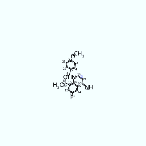 COc1ccc(CO[C@H](C)c2cc(F)ccc2N/C=C\C=N)cc1